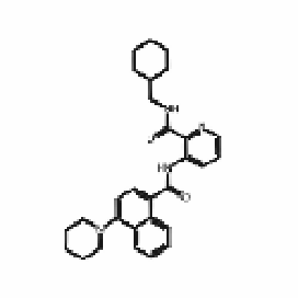 O=C(NCC1CCCCC1)c1ncccc1NC(=O)c1ccc(N2CCCCC2)c2ccccc12